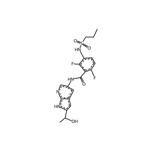 CCCS(=O)(=O)Nc1ccc(F)c(C(=O)Nc2cnc3[nH]c(C(C)O)cc3c2)c1F